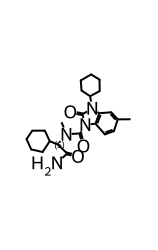 Cc1ccc2c(c1)n(C1CCCCC1)c(=O)n2C(=O)N(C)[C@H](C(N)=O)C1CCCCC1